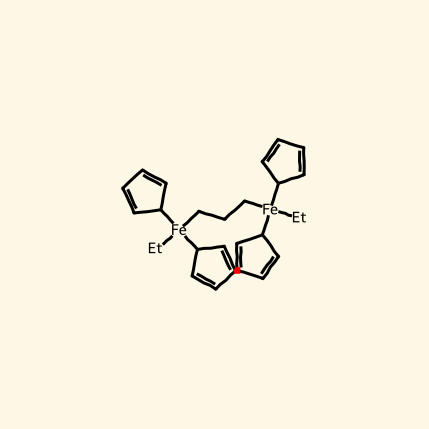 C[CH2][Fe]([CH2]C[CH2][Fe]([CH2]C)([CH]1C=CC=C1)[CH]1C=CC=C1)([CH]1C=CC=C1)[CH]1C=CC=C1